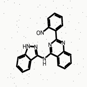 O=Nc1ccccc1-c1nc(Nc2n[nH]c3ccccc23)c2ccccc2n1